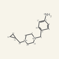 Nc1ccc(CN2CCN(CC3CC3)CC2)cc1